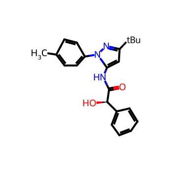 Cc1ccc(-n2nc(C(C)(C)C)cc2NC(=O)[C@H](O)c2ccccc2)cc1